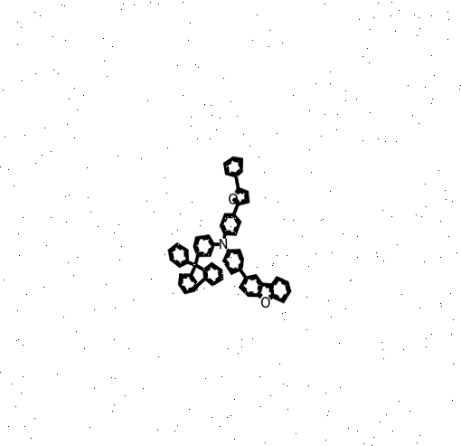 c1ccc(-c2ccc(-c3ccc(N(c4ccc(-c5ccc6oc7ccccc7c6c5)cc4)c4cccc(C5(c6ccccc6)c6ccccc6-c6ccccc65)c4)cc3)o2)cc1